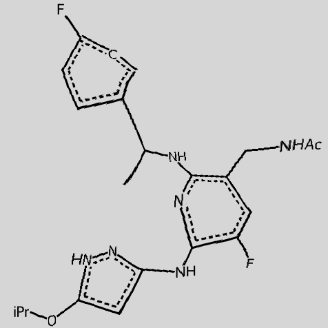 CC(=O)NCc1cc(F)c(Nc2cc(OC(C)C)[nH]n2)nc1NC(C)c1ccc(F)cc1